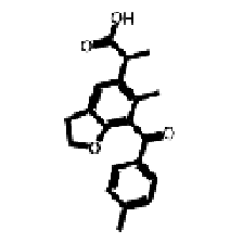 Cc1ccc(C(=O)c2c(C)c(C(C)C(=O)O)cc3c2OCC3)cc1